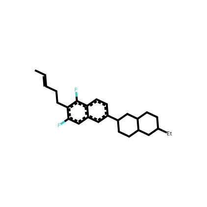 C/C=C/CCc1c(F)cc2cc(C3CCC4CC(CC)CCC4C3)ccc2c1F